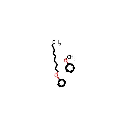 CCCCCCCCCOc1ccccc1.COc1ccccc1